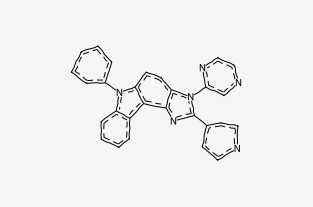 c1ccc(-n2c3ccccc3c3c4nc(-c5ccncc5)n(-c5cnccn5)c4ccc32)cc1